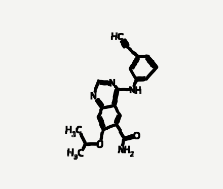 C#Cc1cccc(Nc2ncnc3cc(OC(C)C)c(C(N)=O)cc23)c1